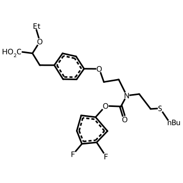 CCCCSCCN(CCOc1ccc(CC(OCC)C(=O)O)cc1)C(=O)Oc1ccc(F)c(F)c1